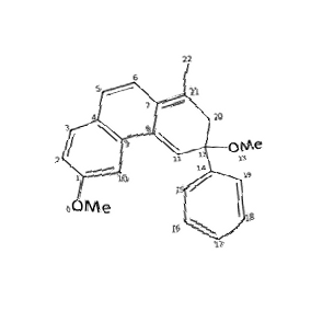 COc1ccc2ccc3c(c2c1)=CC(OC)(c1ccccc1)CC=3C